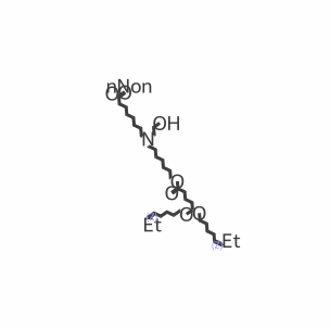 CC/C=C\CCCCOC(CCCC(=O)OCCCCCCCN(CCO)CCCCCCCC(=O)OCCCCCCCCC)OCCCC/C=C\CC